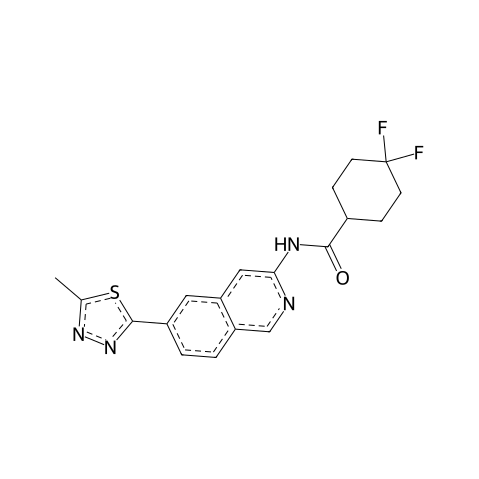 Cc1nnc(-c2ccc3cnc(NC(=O)C4CCC(F)(F)CC4)cc3c2)s1